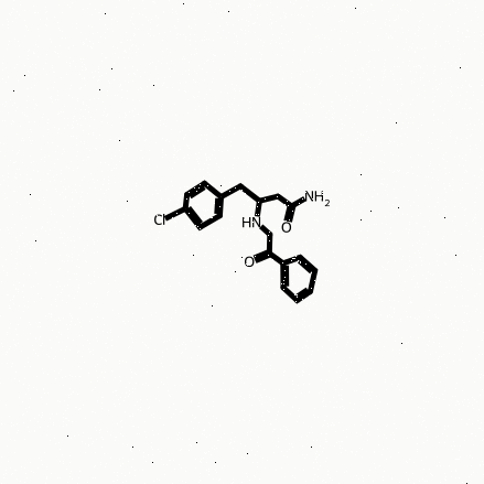 NC(=O)CC(Cc1ccc(Cl)cc1)NCC(=O)c1ccccc1